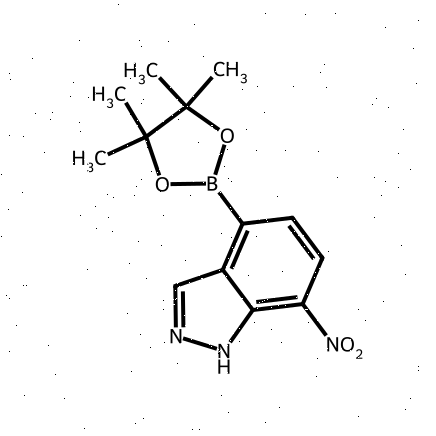 CC1(C)OB(c2ccc([N+](=O)[O-])c3[nH]ncc23)OC1(C)C